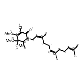 COC1=C(Cl)C(=O)[C@@H](CC=C(C)CCC=C(C)CCC=C(C)C)C(C)C1(OC)OC